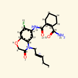 CC/C=C/CN1C(=O)COc2cc(F)c(NC(=O)C3=C(C(N)=O)CCCC3)cc21